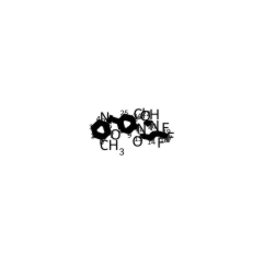 Cc1ccccc1Oc1cc(-n2c(=O)cc(C(F)(F)F)[nH]c2=O)c(Cl)cc1C#N